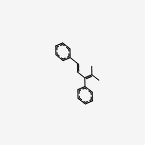 CC(C)=C(C=Cc1ccccc1)c1ccccc1